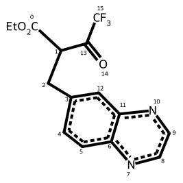 CCOC(=O)C(Cc1ccc2nccnc2c1)C(=O)C(F)(F)F